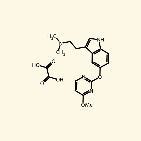 COc1ccnc(Oc2ccc3[nH]cc(CCN(C)C)c3c2)n1.O=C(O)C(=O)O